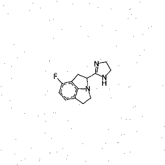 Fc1ccc2c3c1CC(C1=NCCN1)N3CC2